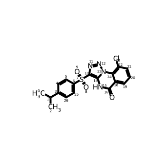 CC(C)c1ccc(S(=O)(=O)c2nnn3c2[nH]c(=O)c2cccc(Cl)c23)cc1